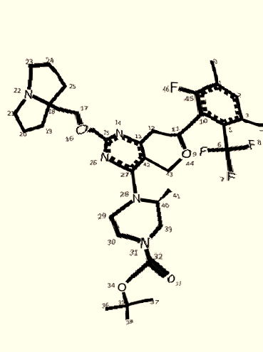 Cc1cc(C)c(C(F)(F)F)c(C2Cc3nc(OCC45CCCN4CCC5)nc(N4CCN(C(=O)OC(C)(C)C)C[C@@H]4C)c3CO2)c1F